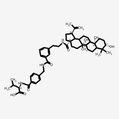 C=C(C)[C@@H]1CC[C@]2(C(=O)NCCc3cccc(C(=O)NCc4ccc(C(=O)N[C@@H](C(=O)O)C(C)C)cc4)c3)CC[C@]3(C)C(CCC4[C@@]5(C)CC[C@H](O)C(C)(C)C5CC[C@]43C)C12